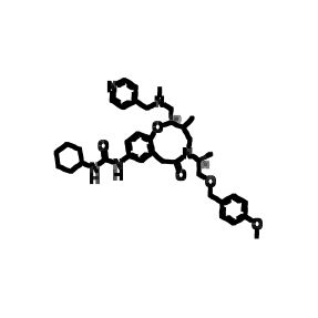 COc1ccc(COC[C@H](C)N2CC(C)[C@H](CN(C)Cc3ccncc3)Oc3ccc(NC(=O)NC4CCCCC4)cc3CC2=O)cc1